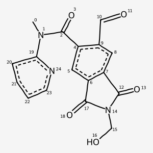 CN(C(=O)c1cc2c(cc1C=O)C(=O)N(CO)C2=O)c1ccccn1